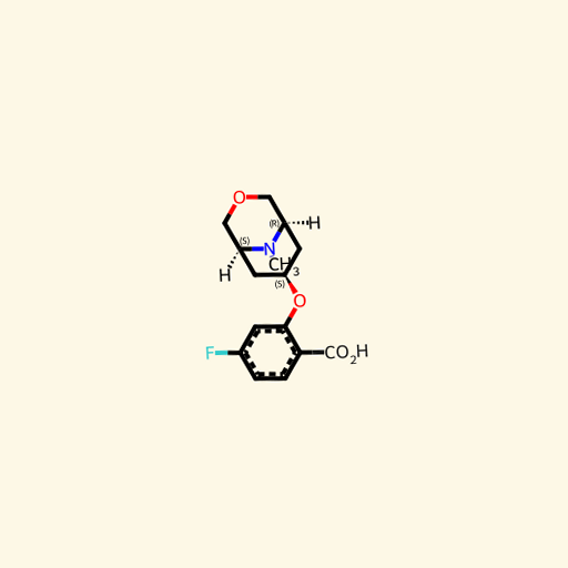 CN1[C@@H]2COC[C@H]1C[C@@H](Oc1cc(F)ccc1C(=O)O)C2